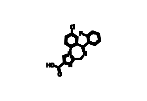 O=C(O)c1cn2c(n1)CN=C(c1ccccc1F)c1cc(Cl)ccc1-2